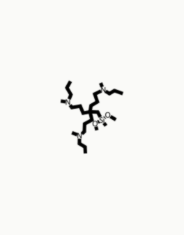 CCCN(C)CCCC(CCCN(C)CCC)(CCCN(C)CCC)C[Si](C)(OC)OC